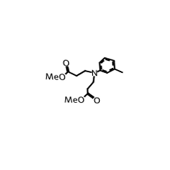 COC(=O)CCN(CCC(=O)OC)c1cccc(C)c1